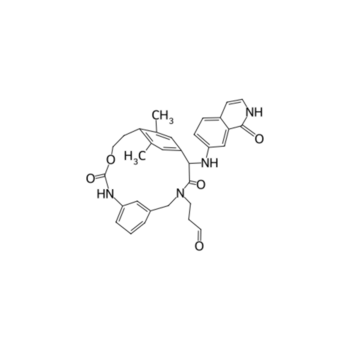 Cc1cc2cc(C)c1CCOC(=O)Nc1cccc(c1)CN(CCC=O)C(=O)C2Nc1ccc2cc[nH]c(=O)c2c1